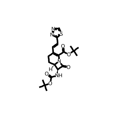 CC(C)(C)OC(=O)N[C@@H]1C(=O)N2C(C(=O)OC(C)(C)C)=C(C=Cc3nncs3)CC[C@H]12